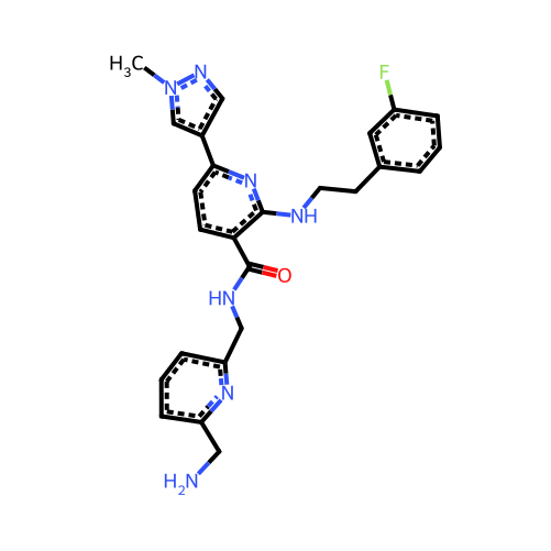 Cn1cc(-c2ccc(C(=O)NCc3cccc(CN)n3)c(NCCc3cccc(F)c3)n2)cn1